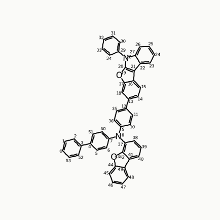 c1ccc(-c2ccc(N(c3ccc(-c4ccc5c(c4)oc4c5c5ccccc5n4-c4ccccc4)cc3)c3cccc4c3oc3ccccc34)cc2)cc1